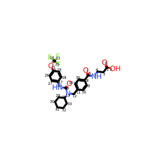 O=C(O)CCNC(=O)c1ccc(CN(C(=O)Nc2ccc(OC(F)(F)F)cc2)C2CCCCC2)cc1